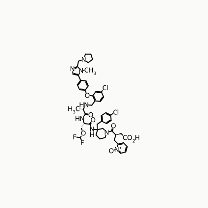 C[C@H](NCc1ccc(Cl)cc1Oc1ccc(-c2cnc(CN3CCCC3)n2C)cc1)C(=O)N[C@@H](COC(F)F)C(=O)N[C@@]1(Cc2ccc(Cl)cc2)CCCN(C(=O)[C@@H](CC(=O)O)Cc2cccc[n+]2[O-])C1